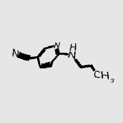 CCCNc1ccc(C#N)cn1